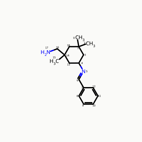 CC1(C)CC(N=Cc2ccccc2)CC(C)(CN)C1